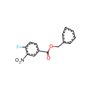 O=C(OCc1ccccc1)c1ccc(F)c([N+](=O)[O-])c1